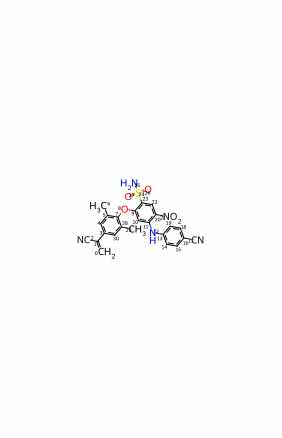 C=C(C#N)c1cc(C)c(Oc2cc(Nc3ccc(C#N)cc3)c([N+](=O)[O-])cc2S(N)(=O)=O)c(C)c1